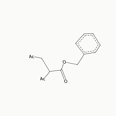 CC(=O)CC(C(C)=O)C(=O)OCc1ccccc1